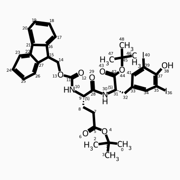 CC(C)(C)OC(=O)CC[C@H](NC(=O)OCC1c2ccccc2-c2ccccc21)C(=O)N[C@@H](Cc1cc(I)c(O)c(I)c1)C(=O)OC(C)(C)C